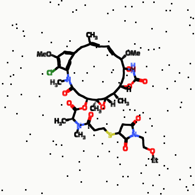 CCOCCN1C(=O)CC(SCCC(=O)N(C)[C@@H](C)C(=O)O[C@H]2CC(=O)N(C)c3cc(cc(OC)c3Cl)C/C(C)=C/C=C/[C@@H](OC)[C@@]3(O)C[C@H](OC(=O)N3)[C@@H](C)[C@@H]3O[C@@]23C)C1=O